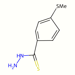 CSc1ccc(C(=S)NN)cc1